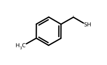 Cc1ccc([CH]S)cc1